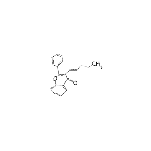 CCCC=Cc1c(-c2ccccc2)oc2ccccc2c1=O